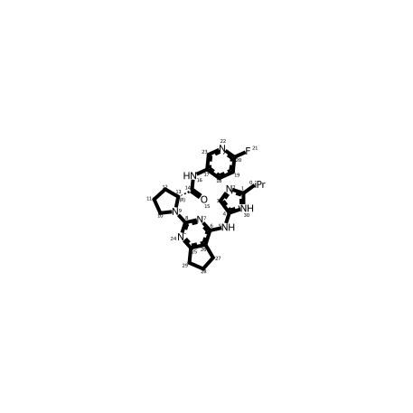 CC(C)c1ncc(Nc2nc(N3CCC[C@@H]3C(=O)Nc3ccc(F)nc3)nc3c2CCC3)[nH]1